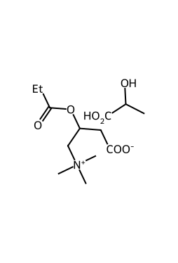 CC(O)C(=O)O.CCC(=O)OC(CC(=O)[O-])C[N+](C)(C)C